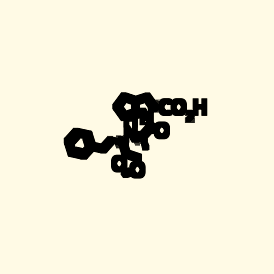 C[C@@H](N[C@H](CCc1ccccc1)C1COCO1)C(=O)N1C2CCCC2C[C@H]1C(=O)O